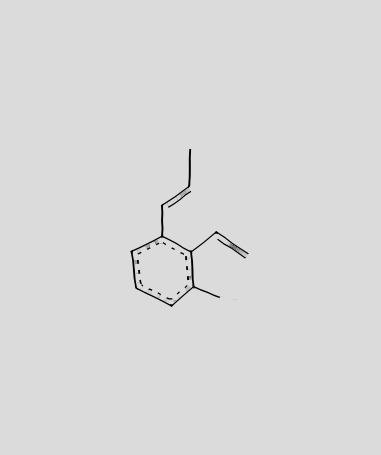 C=Cc1c(S)cccc1C=CC